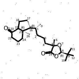 C[C@H](CCC[C@]1(C)O[C@@H](C(C)(C)C)OC1=O)[C@H]1CCC2C(=O)CCC[C@@]21C